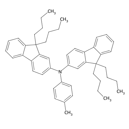 CCCCC1(CCCC)c2ccccc2-c2ccc(N(c3ccc(C)cc3)c3ccc4c(c3)C(CCCC)(CCCC)c3ccccc3-4)cc21